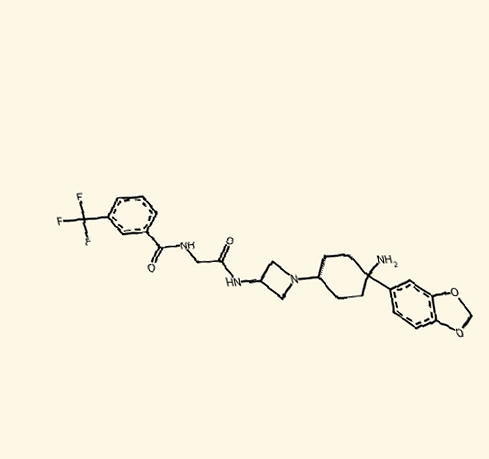 NC1(c2ccc3c(c2)OCO3)CCC(N2CC(NC(=O)CNC(=O)c3cccc(C(F)(F)F)c3)C2)CC1